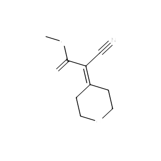 COC(=O)C(C#N)=C1CCOCC1